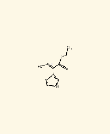 CCOC(=O)/C(=N/O)c1nn[nH]n1